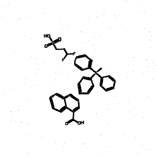 CS(c1ccccc1)(c1ccccc1)c1ccccc1.O=C(O)c1cccc2ccccc12.O=S(=O)(O)CCC(F)F